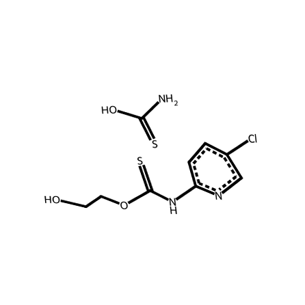 NC(O)=S.OCCOC(=S)Nc1ccc(Cl)cn1